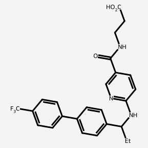 CCC(Nc1ccc(C(=O)NCCC(=O)O)cn1)c1ccc(-c2ccc(C(F)(F)F)cc2)cc1